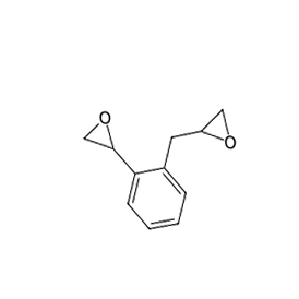 c1ccc(C2CO2)c(CC2CO2)c1